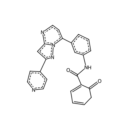 O=C1CC=CC=C1C(=O)Nc1cccc(-c2ccnc3cc(-c4ccncc4)nn23)c1